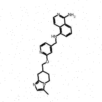 Cc1cnc2n1CCC(COc1cc(CNc3cccc4c(N)nccc34)ccn1)C2